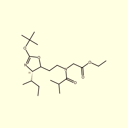 CCOC(=O)CN(CCC1OC(OC(C)(C)C)=N[C@H]1C(C)CC)C(=O)C(C)C